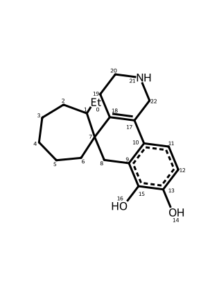 CCC1CCCCCC12Cc1c(ccc(O)c1O)C1=C2CCNC1